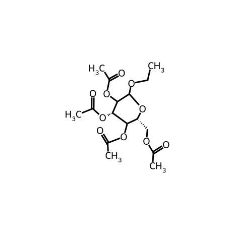 CCOC1O[C@H](COC(C)=O)C(OC(C)=O)[C@H](OC(C)=O)C1OC(C)=O